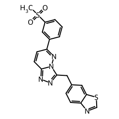 CS(=O)(=O)c1cccc(-c2ccc3nnc(Cc4ccc5ncsc5c4)n3n2)c1